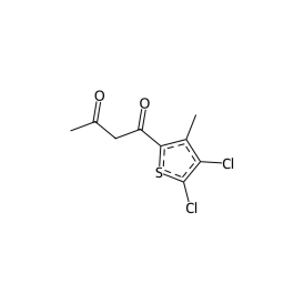 CC(=O)CC(=O)c1sc(Cl)c(Cl)c1C